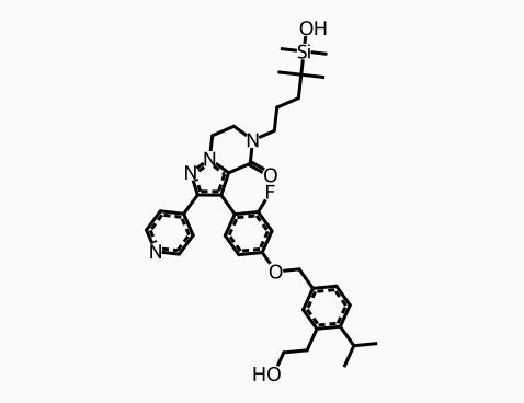 CC(C)c1ccc(COc2ccc(-c3c(-c4ccncc4)nn4c3C(=O)N(CCCC(C)(C)[Si](C)(C)O)CC4)c(F)c2)cc1CCO